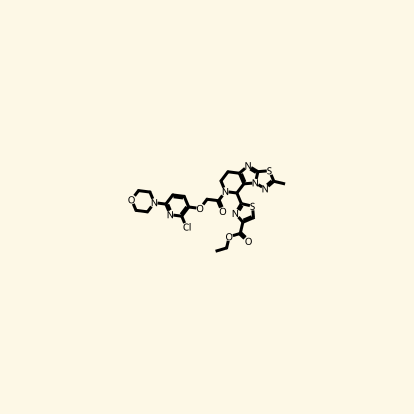 CCOC(=O)c1csc(C2c3c(nc4sc(C)nn34)CCN2C(=O)COc2ccc(N3CCOCC3)nc2Cl)n1